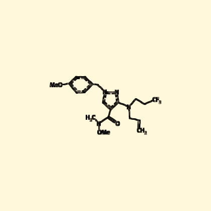 C=CCN(CCC(F)(F)F)c1nn(Cc2ccc(OC)cc2)cc1C(=O)N(C)OC